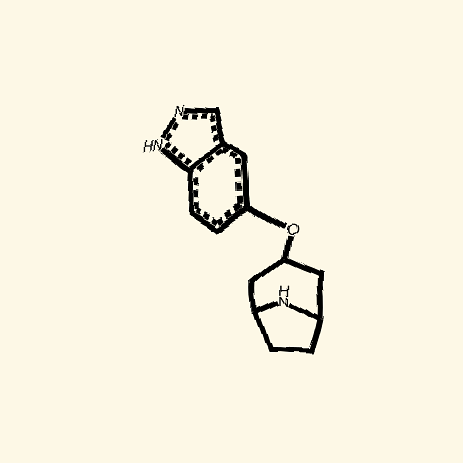 c1cc2[nH]ncc2cc1OC1CC2CCC(C1)N2